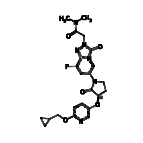 CN(C)C(=O)Cn1nc2c(F)cc(N3CC[C@@H](Oc4ccc(OCC5CC5)nc4)C3=O)cn2c1=O